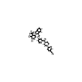 N#Cc1ccc(N2CCN(C(=O)c3cc(OC[C@@H]4c5ccccc5CN4c4cn[nH]c(=O)c4C(F)(F)F)ccn3)CC2)nc1